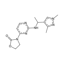 Cc1nn(C)cc1C(C)Nc1nccc(N2CCOC2=O)n1